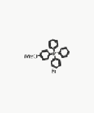 COc1ccc([P+](c2ccccc2)(c2ccccc2)c2ccccc2)cc1.[Br-]